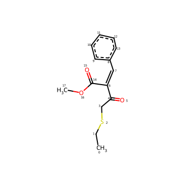 CCSCC(=O)C(=Cc1ccccc1)C(=O)OC